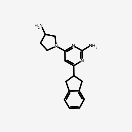 Nc1nc(C2Cc3ccccc3C2)cc(N2CCC(N)C2)n1